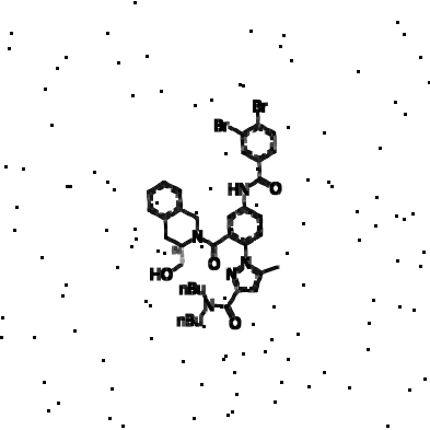 CCCCN(CCCC)C(=O)c1cc(C)n(-c2ccc(NC(=O)c3ccc(Br)c(Br)c3)cc2C(=O)N2Cc3ccccc3C[C@H]2CO)n1